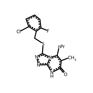 CCCc1c(C)c(=O)[nH]c2nnc(SCc3c(F)cccc3Cl)n12